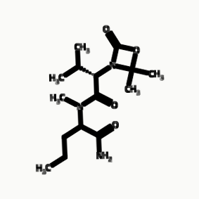 CCCC(C(N)=O)N(C)C(=O)[C@H](C(C)C)N1C(=O)OC1(C)C